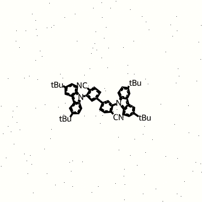 CC(C)(C)c1ccc2c(c1)c1cc(C(C)(C)C)ccc1n2-c1cc(-c2ccc(C#N)c(-n3c4ccc(C(C)(C)C)cc4c4cc(C(C)(C)C)ccc43)c2)ccc1C#N